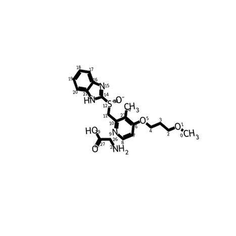 COCCCOc1ccnc(C[S+]([O-])c2nc3ccccc3[nH]2)c1C.NCC(=O)O